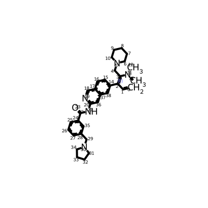 C=C/C(=C(/CN1CCCCC1)N(C)C)c1ccc2cnc(NC(=O)c3cccc(CN4CCCC4)c3)cc2c1